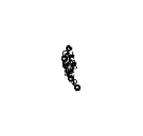 O=C(OCc1cncs1)N(CCCN(Cc1ccc(OCc2ccccc2)cc1)C(=O)OCc1cncs1)Cc1ccc(OCc2ccccc2)cc1